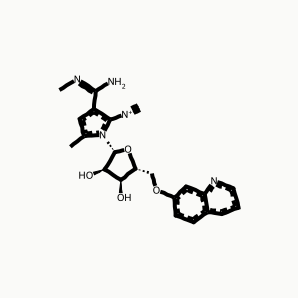 C#[N+]c1c(/C(N)=N\C)cc(C)n1[C@@H]1O[C@H](COc2ccc3cccnc3c2)[C@@H](O)[C@H]1O